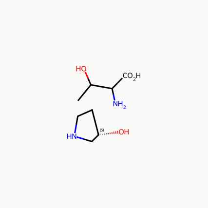 CC(O)C(N)C(=O)O.O[C@H]1CCNC1